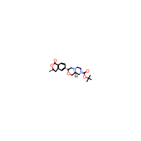 C[C@@H]1Cc2cc([C@@H]3CN4CCN(C(=O)OC(C)(C)C)C[C@H]4CO3)ccc2C(=O)O1